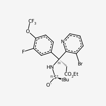 CCOC(=O)C[C@](N[S@+]([O-])C(C)(C)C)(c1ccc(OC(F)(F)F)c(F)c1)c1ncccc1Br